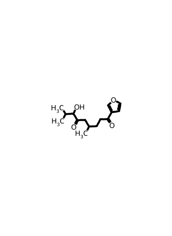 CC(CCC(=O)c1ccoc1)CC(=O)C(O)C(C)C